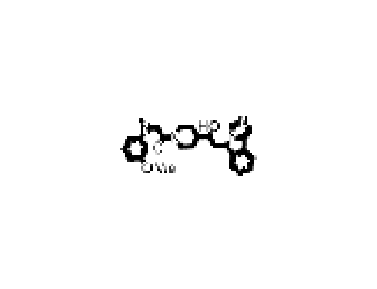 COc1cccc(N(C)CC(=O)N2CCC(C(O)CC3c4ccccc4-c4cncn43)CC2)c1